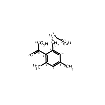 Cc1cc(C)c(C(=O)C(=O)O)c(C)c1.O=S(=O)(O)P